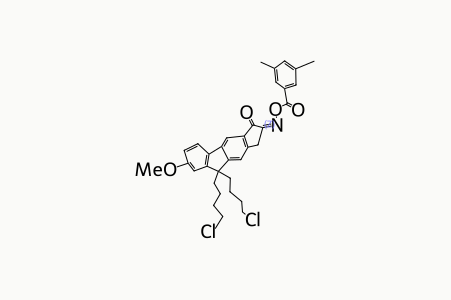 COc1ccc2c(c1)C(CCCCCl)(CCCCCl)c1cc3c(cc1-2)C(=O)/C(=N\OC(=O)c1cc(C)cc(C)c1)C3